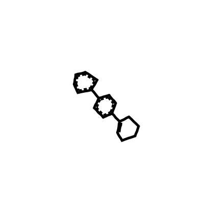 C1=C(c2ccc(-c3ccccc3)cc2)CCCC1